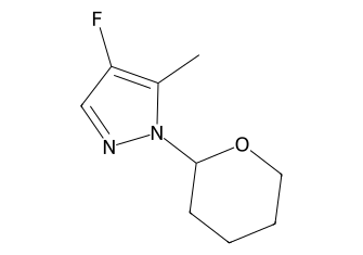 Cc1c(F)cnn1C1CCCCO1